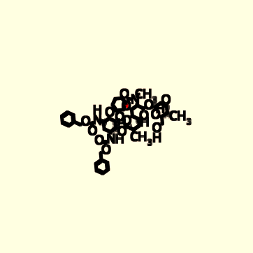 CC1C[C@@H]2OC(O[C@H]3OC(CO)[C@@H](C)[C@@H]4OC34)C3C(OC(=O)N3C)C2O[C@@H]1O[C@@H]1C(NC(=O)OCc2ccccc2)C[C@@H](NC(=O)OCc2ccccc2)C2OC3(CCCCC3)O[C@H]21